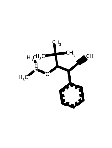 C#CC(c1ccccc1)C(O[SiH](C)C)C(C)(C)C